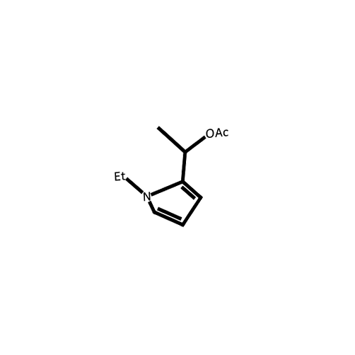 CCn1cccc1C(C)OC(C)=O